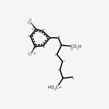 CC(CCCC(Cc1cc(Cl)cc(Cl)c1)C(=O)O)C(=O)O